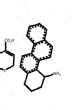 NC1CCCc2ccc3c(ccc4ccccc43)c21.O=C(O)C1=CCSC=C1